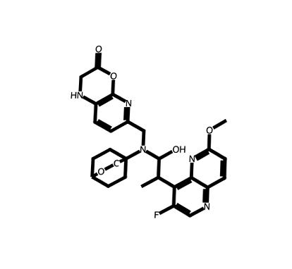 COc1ccc2ncc(F)c(C(C)C(O)N(Cc3ccc4c(n3)OC(=O)CN4)C34CCC(CC3)OC4)c2n1